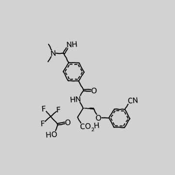 CN(C)C(=N)c1ccc(C(=O)N[C@@H](COc2cccc(C#N)c2)CC(=O)O)cc1.O=C(O)C(F)(F)F